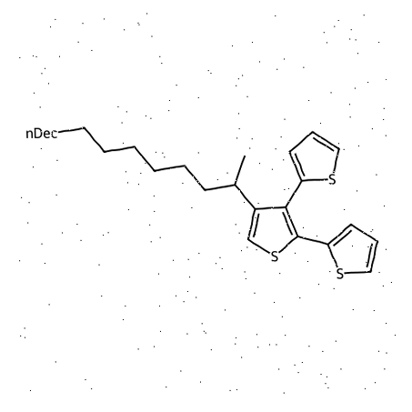 CCCCCCCCCCCCCCCCC(C)c1csc(-c2cccs2)c1-c1cccs1